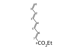 C=C/C=C/C=C/C=C/C(=O)OCC